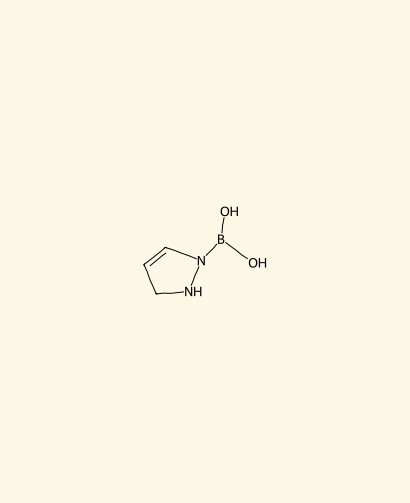 OB(O)N1C=CCN1